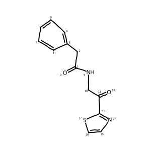 O=C(Cc1ccccc1)NCC(=O)c1nccs1